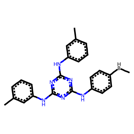 CBc1ccc(Nc2nc(Nc3cccc(C)c3)nc(Nc3cccc(C)c3)n2)cc1